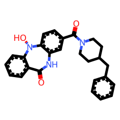 O=C1Nc2cc(C(=O)N3CCC(Cc4ccccc4)CC3)ccc2N(O)c2ccccc21